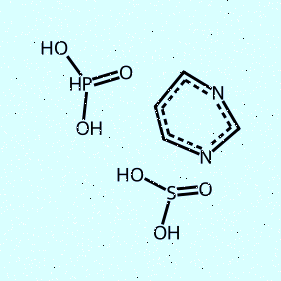 O=S(O)O.O=[PH](O)O.c1cncnc1